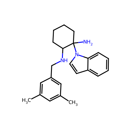 Cc1cc(C)cc(CNC2CCCCC2(N)n2ccc3ccccc32)c1